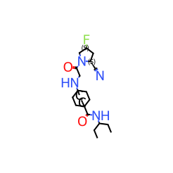 CCC(CC)NC(=O)C12CCC(NCC(=O)N3C[C@@H](F)C[C@H]3C#N)(CC1)CC2